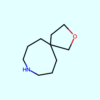 C1CNCCCC2(C1)CCOC2